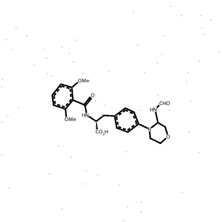 COc1cccc(OC)c1C(=O)N[C@@H](Cc1ccc(N2CCOCC2NC=O)cc1)C(=O)O